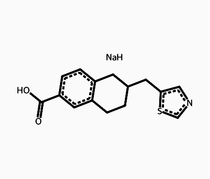 O=C(O)c1ccc2c(c1)CCC(Cc1cncs1)C2.[NaH]